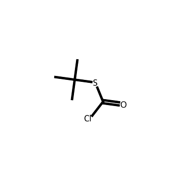 CC(C)(C)SC(=O)Cl